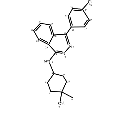 CC1(O)CCC(Nc2nnc(-c3ccc(Cl)cc3)c3ccccc23)CC1